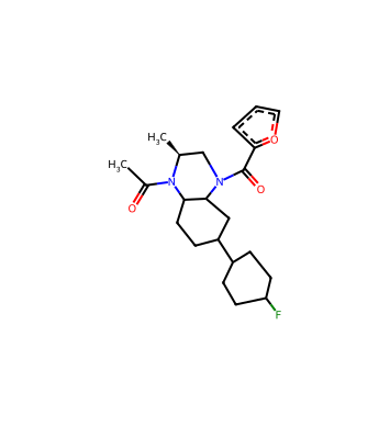 CC(=O)N1C2CCC(C3CCC(F)CC3)CC2N(C(=O)c2ccco2)C[C@@H]1C